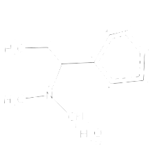 CCC(c1ccccc1)N(C)C.O